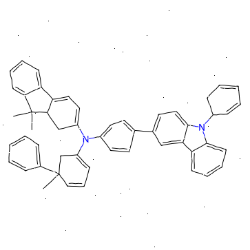 CC1(c2ccccc2)C=CC=C(N(C2=CC=C3c4ccccc4C(C)(C)C3C2)c2ccc(-c3ccc4c(c3)c3ccccc3n4C3C=CC=CC3)cc2)C1